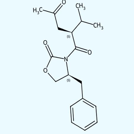 CC(=O)C[C@H](C(=O)N1C(=O)OC[C@@H]1Cc1ccccc1)C(C)C